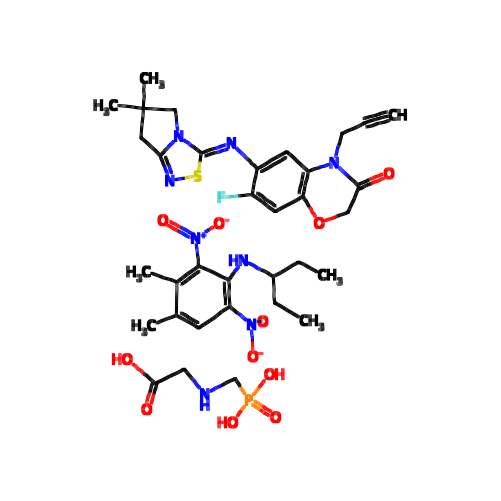 C#CCN1C(=O)COc2cc(F)c(/N=c3\snc4n3CC(C)(C)C4)cc21.CCC(CC)Nc1c([N+](=O)[O-])cc(C)c(C)c1[N+](=O)[O-].O=C(O)CNCP(=O)(O)O